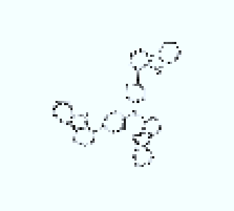 C1=Cc2oc3c(-c4ccc(N(c5ccc(-c6cccc7c6oc6ccccc67)cc5)c5cccc6c5oc5ccccc56)cc4)cccc3c2CC1